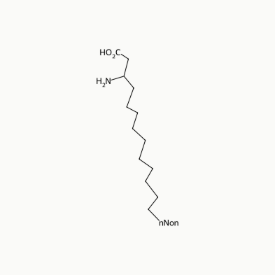 CCCCCCCCCCCCCCCCCCCC(N)CC(=O)O